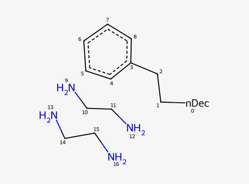 CCCCCCCCCCCCc1ccccc1.NCCN.NCCN